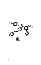 C[C@@H]1CN(CCN2CCN(C(=O)c3cc(-n4cccc4)cc(C(F)(F)F)c3)[C@H](Cc3ccc(Cl)cc3)C2)C[C@H](C)O1.Cl.Cl